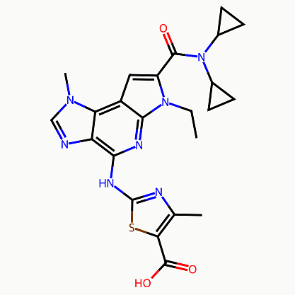 CCn1c(C(=O)N(C2CC2)C2CC2)cc2c3c(ncn3C)c(Nc3nc(C)c(C(=O)O)s3)nc21